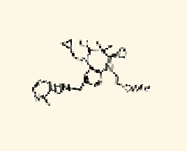 COCCN1C(=O)C(C)(C)C(=O)N(CC2CC2)c2cc(CNCc3cccnc3C)ccc21